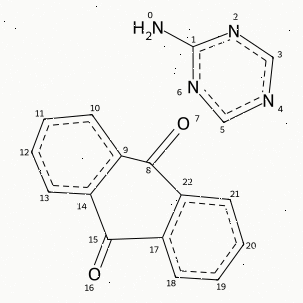 Nc1ncncn1.O=C1c2ccccc2C(=O)c2ccccc21